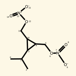 CC(C)C1C(CO[N+](=O)[O-])C1CO[N+](=O)[O-]